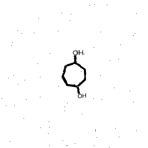 OC1CCCC(O)CC1